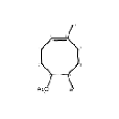 CC(=O)OC1CCC=C(C)CCC1C